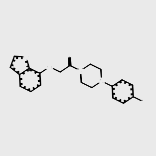 O=C(COc1cccc2ccoc12)N1CCN(c2ccc(F)cc2)CC1